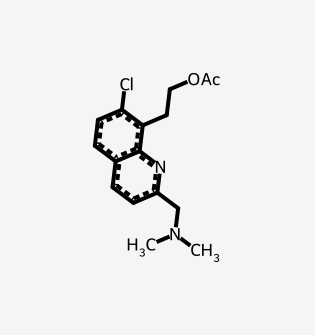 CC(=O)OCCc1c(Cl)ccc2ccc(CN(C)C)nc12